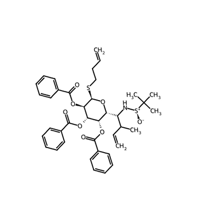 C=CCCS[C@H]1O[C@H](C(N[S@+]([O-])C(C)(C)C)C(C)C=C)[C@H](OC(=O)c2ccccc2)[C@H](OC(=O)c2ccccc2)[C@H]1OC(=O)c1ccccc1